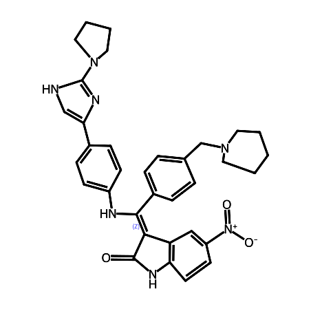 O=C1Nc2ccc([N+](=O)[O-])cc2/C1=C(/Nc1ccc(-c2c[nH]c(N3CCCC3)n2)cc1)c1ccc(CN2CCCCC2)cc1